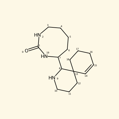 O=C1NCCCCC(C2NCCCC23C=CCCC3)N1